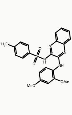 COc1ccc(Nc2nc3ccccc3nc2NS(=O)(=O)c2ccc(C)cc2)c(OC)c1